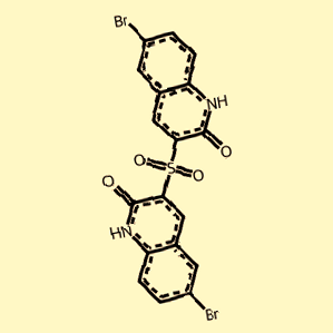 O=c1[nH]c2ccc(Br)cc2cc1S(=O)(=O)c1cc2cc(Br)ccc2[nH]c1=O